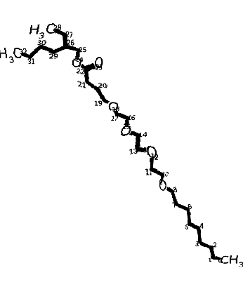 CCCCCCCCCOCCOCCOCCOCCCC(=O)OCC(CC)CCCC